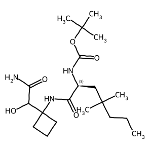 CCCC(C)(C)C[C@H](NC(=O)OC(C)(C)C)C(=O)NC1(C(O)C(N)=O)CCC1